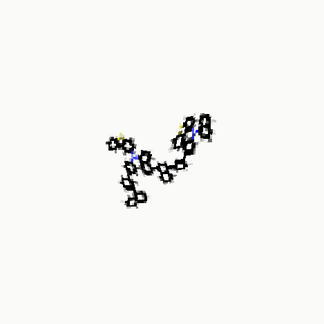 c1cc(-c2ccc(N(c3ccc4sc5ccccc5c4c3)c3cccc4c(-c5ccc(-c6cccc(-c7ccc(N(c8cccc9ccccc89)c8cccc9sc%10ccccc%10c89)cc7)c6)c6ccccc56)cccc34)cc2)cc(-c2cccc3ccccc23)c1